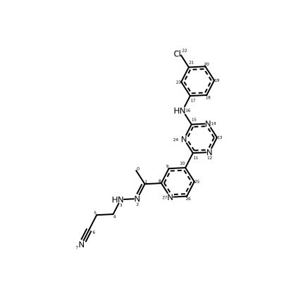 CC(=NNCCC#N)c1cc(-c2ncnc(Nc3cccc(Cl)c3)n2)ccn1